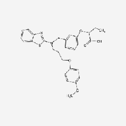 CCC(Oc1cccc(CN(CCCOc2ccc(OC)cc2)c2nc3ccccc3s2)c1)C(=O)O